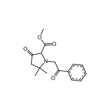 COC(=O)C1C(=O)CC(C)(C)N1CC(=O)c1ccccc1